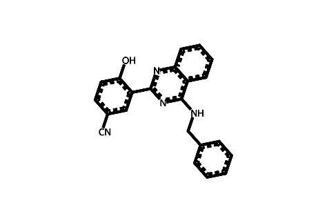 N#Cc1ccc(O)c(-c2nc(NCc3ccccc3)c3ccccc3n2)c1